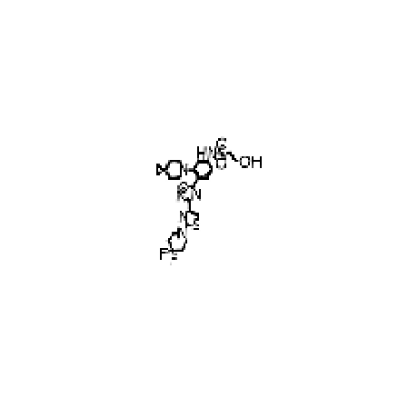 O=S(=O)(CCO)Nc1ccc(-c2nc(-c3csc(N4CCC(F)(F)CC4)n3)no2)c(N2CCC3(CC2)CC3)c1